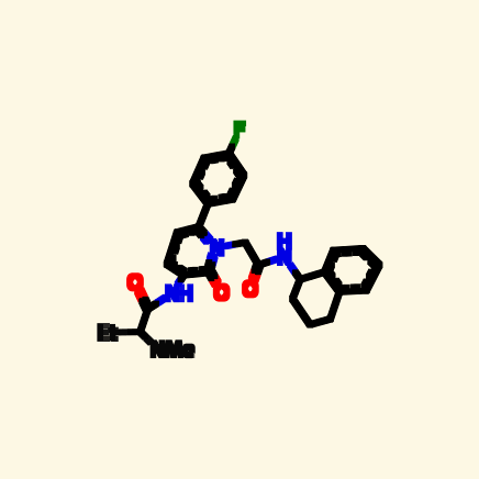 CCC(NC)C(=O)Nc1ccc(-c2ccc(F)cc2)n(CC(=O)NC2CCCc3ccccc32)c1=O